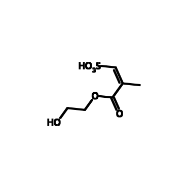 CC(=CS(=O)(=O)O)C(=O)OCCO